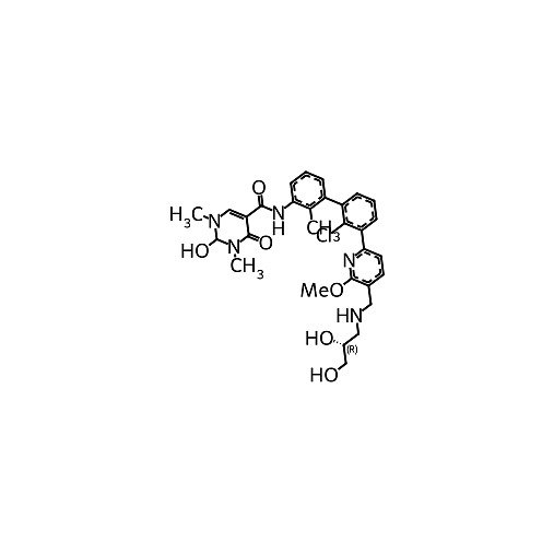 COc1nc(-c2cccc(-c3cccc(NC(=O)C4=CN(C)C(O)N(C)C4=O)c3C)c2Cl)ccc1CNC[C@@H](O)CO